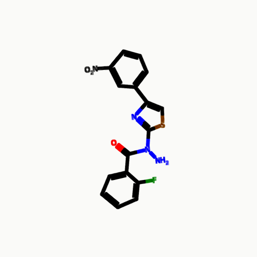 NN(C(=O)c1ccccc1F)c1nc(-c2cccc([N+](=O)[O-])c2)cs1